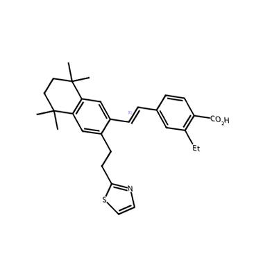 CCc1cc(/C=C/c2cc3c(cc2CCc2nccs2)C(C)(C)CCC3(C)C)ccc1C(=O)O